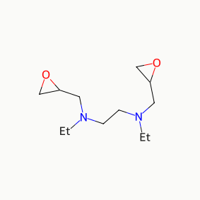 CCN(CCN(CC)CC1CO1)CC1CO1